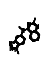 Cc1nc(N(C)c2ccc3c(c2)nnn3C)c2ccccc2n1